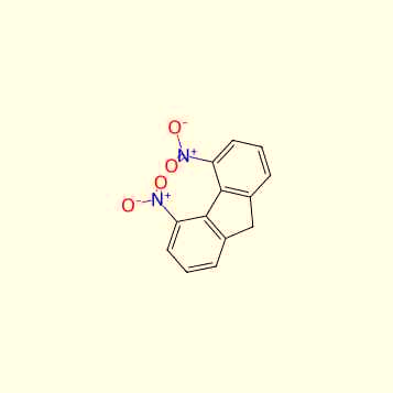 O=[N+]([O-])c1cccc2c1-c1c(cccc1[N+](=O)[O-])C2